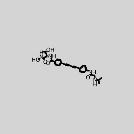 CC(C)NCC(=O)Nc1ccc(C#CC#Cc2ccc(C(=O)N[C@H](C(=O)NO)[C@@H](C)O)cc2)cc1